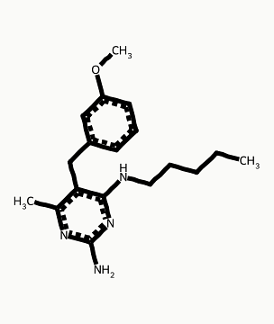 CCCCCNc1nc(N)nc(C)c1Cc1cccc(OC)c1